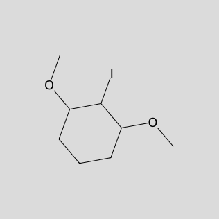 COC1CCCC(OC)C1I